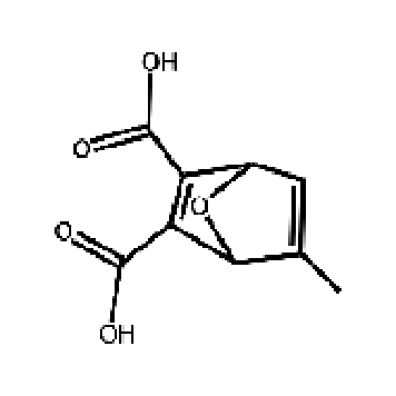 CC1=CC2OC1C(C(=O)O)=C2C(=O)O